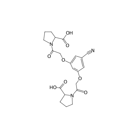 N#Cc1cc(OCC(=O)N2CCCC2C(=O)O)cc(OCC(=O)N2CCCC2C(=O)O)c1